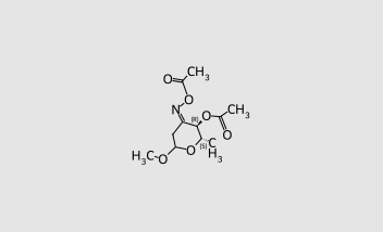 COC1CC(=NOC(C)=O)[C@@H](OC(C)=O)[C@H](C)O1